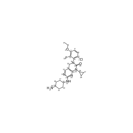 CCOc1ccc(Cl)c(N2Cc3cnc(NC4CCC(N)CC4)nc3N(C3CC3)C2=O)c1F